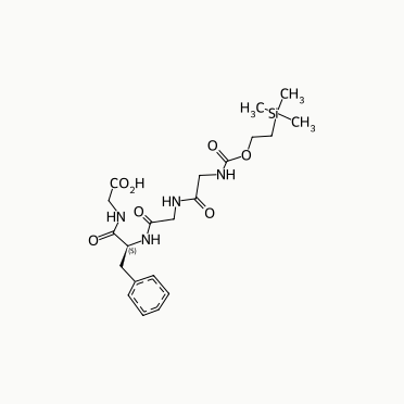 C[Si](C)(C)CCOC(=O)NCC(=O)NCC(=O)N[C@@H](Cc1ccccc1)C(=O)NCC(=O)O